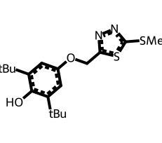 CSc1nnc(COc2cc(C(C)(C)C)c(O)c(C(C)(C)C)c2)s1